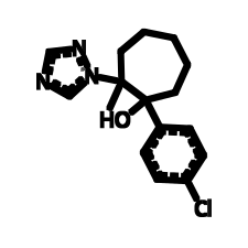 CC1(n2cncn2)CCCCCC1(O)c1ccc(Cl)cc1